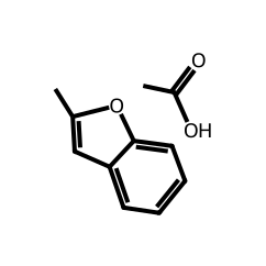 CC(=O)O.Cc1cc2ccccc2o1